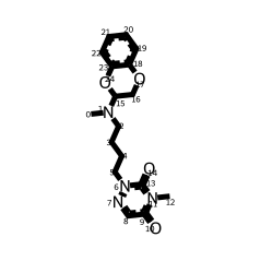 CN(CCCCn1ncc(=O)n(C)c1=O)C1COc2ccccc2O1